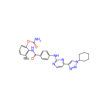 CC(C)(C)c1cccc(OC(N)=O)c1NC(=O)c1ccc(Nc2nccc(-c3cn(C4CCCCC4)nn3)n2)cc1